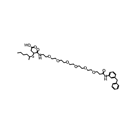 CCCCC(C)SC(CC(=O)O)C(=O)NCCOCCOCCOCCOCCOCCOCCC(=O)Nc1cccc(Cc2ccccc2)c1